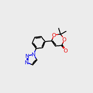 CC1(C)OC(=O)C=C(c2cccc(-n3ccnn3)c2)O1